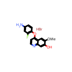 Br.COc1cc2c(Oc3ccc(N)cc3F)ccnc2cc1O